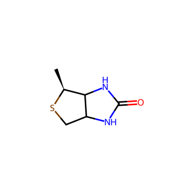 C[C@@H]1SCC2NC(=O)NC21